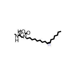 CCCCCC/C=C\CCCCCCCCN(CC(=O)NC)C(=O)O